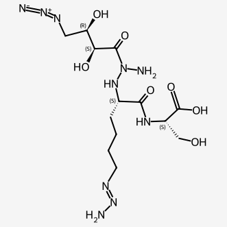 [N-]=[N+]=NC[C@@H](O)[C@H](O)C(=O)N(N)N[C@@H](CCCCN=NN)C(=O)N[C@@H](CO)C(=O)O